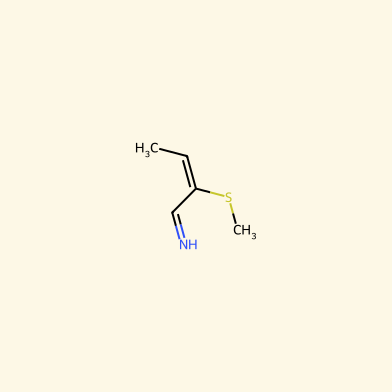 C/C=C(\C=N)SC